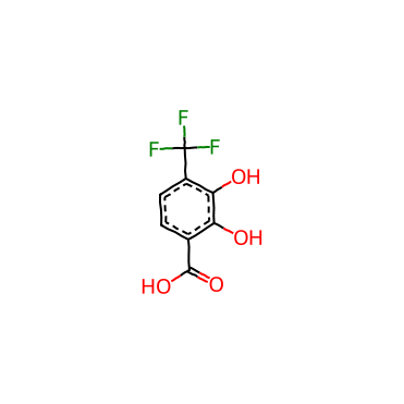 O=C(O)c1ccc(C(F)(F)F)c(O)c1O